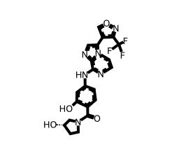 O=C(c1ccc(Nc2nccn3c(-c4conc4C(F)(F)F)cnc23)cc1O)N1CC[C@H](O)C1